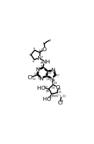 CCOC1CCCN1Nc1nc(Cl)nc2c1ncn2[C@H]1O[C@H](CCl)[C@@H](O)[C@H]1O